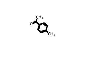 CC(=O)c1c[c]c(C)cc1